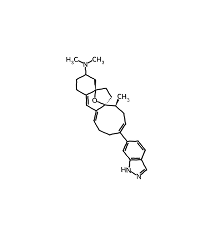 C[C@H]1C/C=C(/c2ccc3cn[nH]c3c2)CC/C=C2/C=C3CCC(N(C)C)C[C@]34CC[C@@]21O4